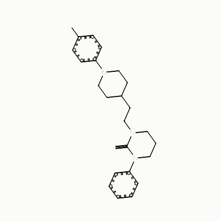 O=C1N(CCC2CCN(c3ccc(Br)cc3)CC2)CCCN1c1ccccc1